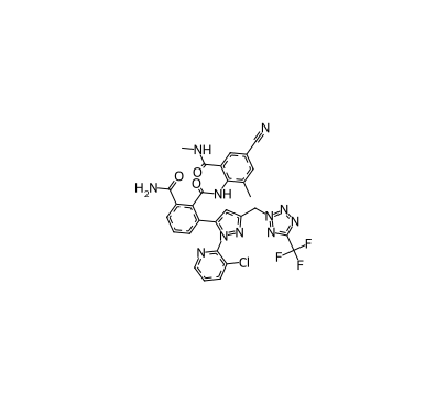 CNC(=O)c1cc(C#N)cc(C)c1NC(=O)c1c(C(N)=O)cccc1-c1cc(Cn2nnc(C(F)(F)F)n2)nn1-c1ncccc1Cl